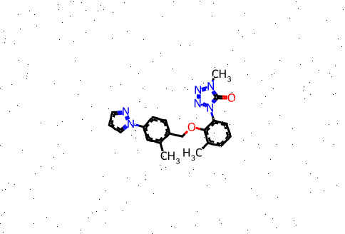 Cc1cc(-n2cccn2)ccc1COc1c(C)cccc1-n1nnn(C)c1=O